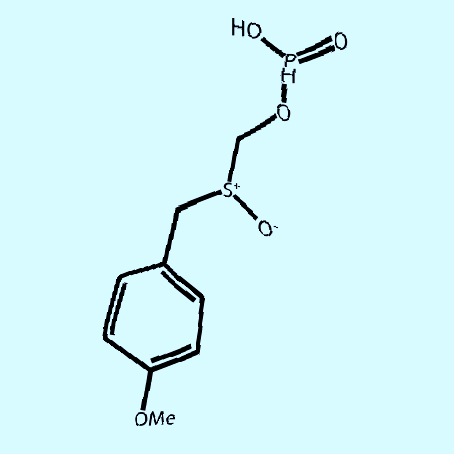 COc1ccc(C[S+]([O-])CO[PH](=O)O)cc1